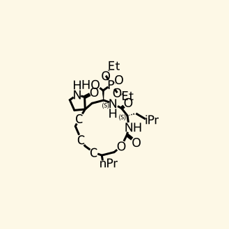 CCCC1CCCCCC2(CCNC2=O)C[C@@H](C(O)P(=O)(OCC)OCC)NC(=O)[C@H](CC(C)C)NC(=O)OC1